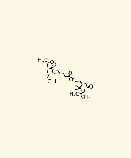 CC(=O)CC(CCCO)C(=O)OCCCCC(=O)OCCCC(CC=O)C(=O)OC(C)C